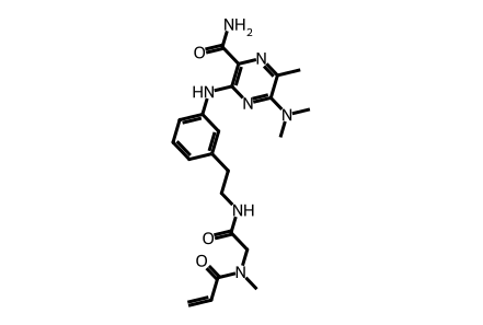 C=CC(=O)N(C)CC(=O)NCCc1cccc(Nc2nc(N(C)C)c(C)nc2C(N)=O)c1